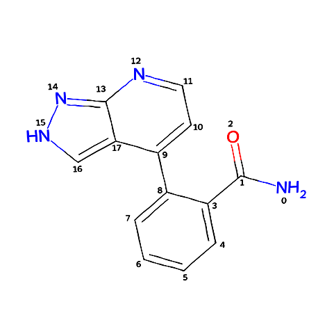 NC(=O)c1ccccc1-c1ccnc2n[nH]cc12